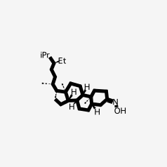 CC[C@H](CC[C@@H](C)[C@H]1CC[C@H]2[C@@H]3CC[C@H]4CC(=NO)CC[C@]4(C)[C@H]3CC[C@]12C)C(C)C